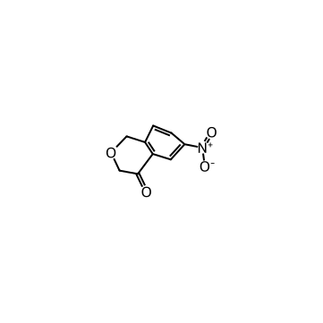 O=C1COCc2ccc([N+](=O)[O-])cc21